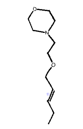 CC/C=C/COCCN1CCOCC1